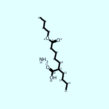 CCCCOC(=O)CCCCC(CCCC)C(=O)O.N